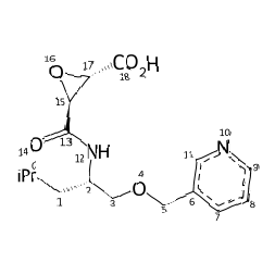 CC(C)C[C@@H](COCc1cccnc1)NC(=O)[C@H]1O[C@@H]1C(=O)O